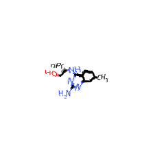 CCC[C@@H](CO)Nc1nc(N)nc2cc(C)ccc12